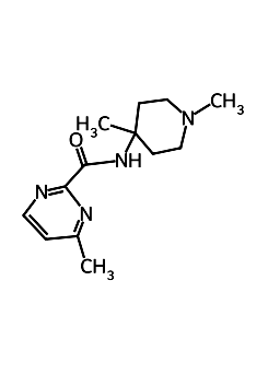 Cc1ccnc(C(=O)NC2(C)CCN(C)CC2)n1